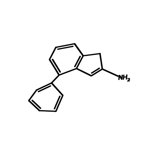 NC1=Cc2c(cccc2-c2ccccc2)C1